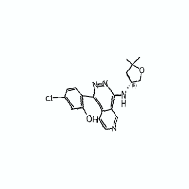 CC1(C)C[C@@H](Nc2nnc(-c3ccc(Cl)cc3O)c3ccncc23)CO1